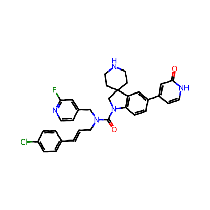 O=C(N(CC=Cc1ccc(Cl)cc1)Cc1ccnc(F)c1)N1CC2(CCNCC2)c2cc(-c3cc[nH]c(=O)c3)ccc21